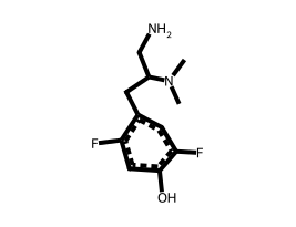 CN(C)C(CN)Cc1cc(F)c(O)cc1F